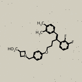 Cc1ccc(/C=C(\CCCOc2ccc(CN3CC(C(=O)O)C3)cc2)c2cccc(F)c2F)cc1C